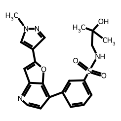 Cn1cc(-c2cc3nccc(-c4cccc(S(=O)(=O)NCC(C)(C)O)c4)c3o2)cn1